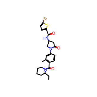 CCC1CCCCN1C(=O)c1ccc(N2CC(NC(=O)c3ccc(Br)s3)CC2=O)cc1C